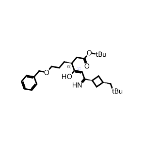 CC(C)(C)C[C@H]1C[C@@H](C(=N)/C=C(\O)[C@@H](CCCOCc2ccccc2)CC(=O)OC(C)(C)C)C1